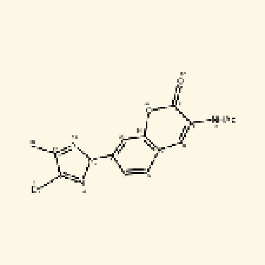 CCc1nn(-c2ccc3cc(NC(C)=O)c(=O)oc3c2)nc1C